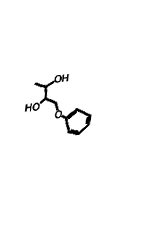 CC(O)C(O)COc1ccccc1